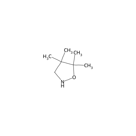 CC1(C)CNOC1(C)C